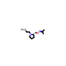 COCCN1CCC[C@H]1CON=C(C)C